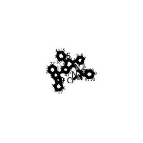 Clc1nc(-n2c3ccccc3c3c4sc5ccccc5c4c4cc(-c5c6ccccc6cc6c5oc5ccccc56)ccc4c32)c2sc3ccccc3c2n1